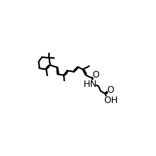 CC(C=CC1=C(C)CCCC1(C)C)=CC=CC(C)=CC(=O)NCCC(=O)O